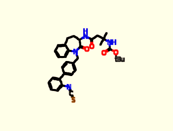 CC(C)(CC(=O)N[C@@H]1CCc2ccccc2N(Cc2ccc(-c3ccccc3N=C=S)cc2)C1=O)NC(=O)OC(C)(C)C